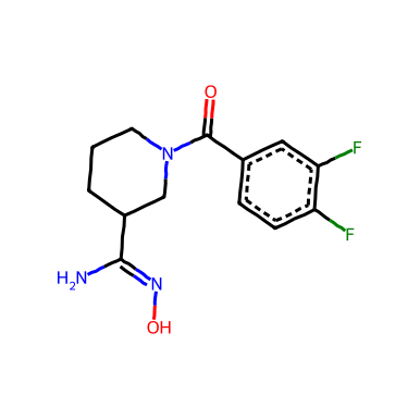 NC(=NO)C1CCCN(C(=O)c2ccc(F)c(F)c2)C1